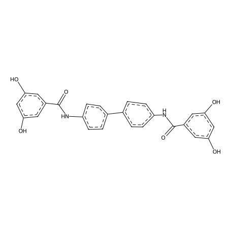 O=C(Nc1ccc(-c2ccc(NC(=O)c3cc(O)cc(O)c3)cc2)cc1)c1cc(O)cc(O)c1